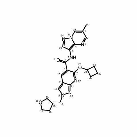 Cc1cnc2c(NC(=O)c3cc4cn(C[C@@H]5CCOC5)nc4nc3OC3CCC3)cnn2c1